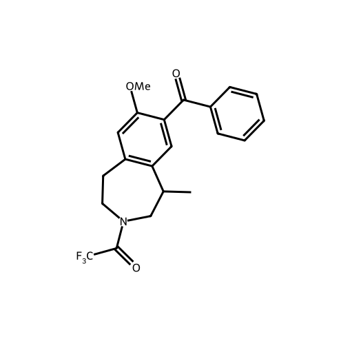 COc1cc2c(cc1C(=O)c1ccccc1)C(C)CN(C(=O)C(F)(F)F)CC2